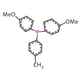 COc1ccc(P(c2ccc(C)cc2)c2ccc(OC)cc2)cc1